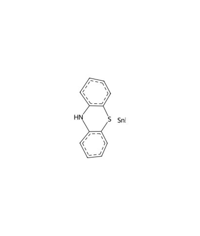 [Sn].c1ccc2c(c1)Nc1ccccc1S2